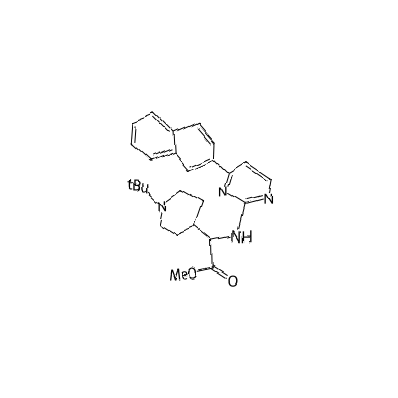 COC(=O)C(Nc1nccc(-c2ccc3ccccc3c2)n1)C1CCN(C(C)(C)C)CC1